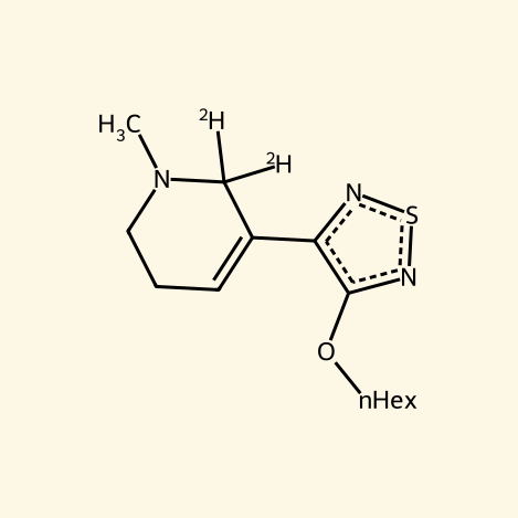 [2H]C1([2H])C(c2nsnc2OCCCCCC)=CCCN1C